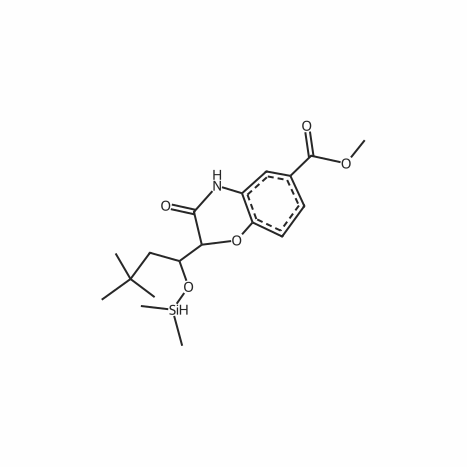 COC(=O)c1ccc2c(c1)NC(=O)C(C(CC(C)(C)C)O[SiH](C)C)O2